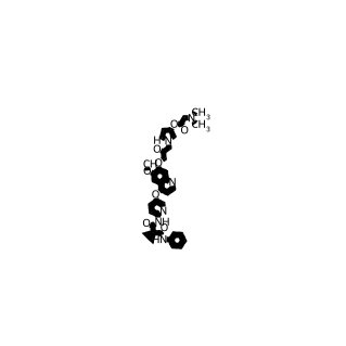 COc1cc2c(Oc3ccc(NC(=O)C4(C(=O)Nc5ccccc5)CC4)nc3)ccnc2cc1OCC(O)CN1CCC(OC(=O)CN(C)C)C1